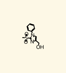 CS(=O)(=O)c1nc(CO)cn1-c1ccccc1